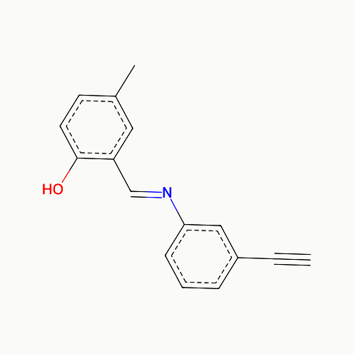 C#Cc1cccc(/N=C/c2cc(C)ccc2O)c1